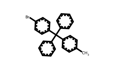 Cc1ccc(C(c2ccccc2)(c2ccccc2)c2ccc(Br)cc2)cc1